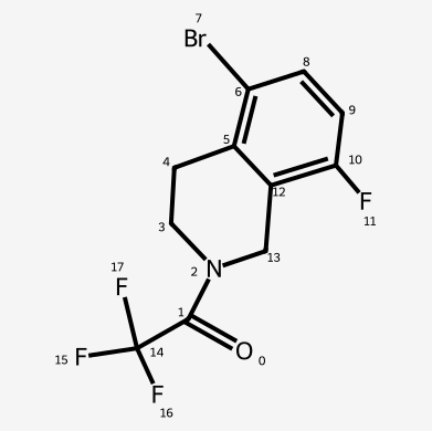 O=C(N1CCc2c(Br)ccc(F)c2C1)C(F)(F)F